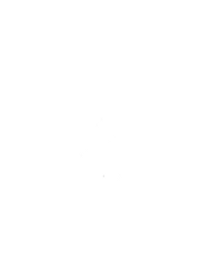 C=Bc1cc(CC)cc(F)c1-c1ccccc1OC